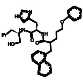 CC(C)C[C@@H](CO)NC(=O)[C@H](Cc1c[nH]cn1)NC(=O)C(CCCOc1ccccc1)Cc1cccc2ccccc12